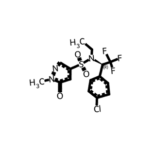 CCN([C@H](c1ccc(Cl)cc1)C(F)(F)F)S(=O)(=O)c1cnn(C)c(=O)c1